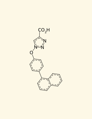 O=C(O)c1cn(Oc2ccc(-c3cccc4ccccc34)cc2)nn1